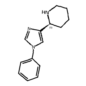 c1ccc(-n2cnc([C@@H]3CCCCN3)c2)cc1